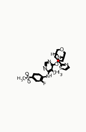 Cc1c(Nc2ccc(S(C)(=O)=O)cc2F)ncnc1OC1CC2COC[C@@H](C1)N2Cc1nccs1